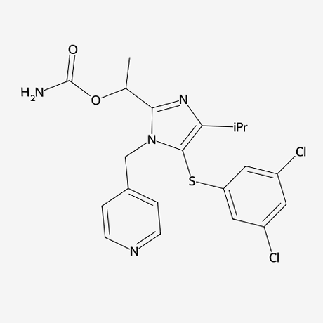 CC(C)c1nc(C(C)OC(N)=O)n(Cc2ccncc2)c1Sc1cc(Cl)cc(Cl)c1